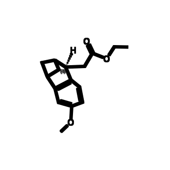 CCOC(=O)C[C@H]1c2ccc(OC)cc2C2CC1C2